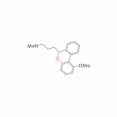 CNCCCC1Oc2cccc(OC)c2-c2ccccc21